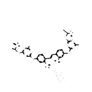 CC(Nc1nc(Cl)nc(Nc2ccc(/C=C/c3ccc(Nc4nc(Cl)nc(NC(C)S(=O)(=O)O)n4)cc3S(=O)(=O)O)c(S(=O)(=O)O)c2)n1)S(=O)(=O)O.[NaH].[NaH].[NaH].[NaH]